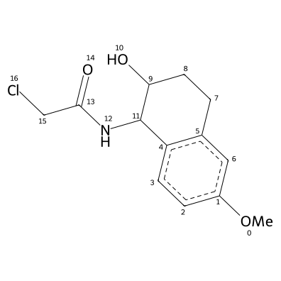 COc1ccc2c(c1)CCC(O)C2NC(=O)CCl